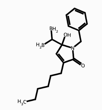 BC(B)C1(O)C=C(CCCCCC)C(=O)N1Cc1ccccc1